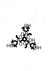 C=CC(=O)N(C(=O)c1cc(C(=O)N(C(=O)C=C)C2CC(C)(C)N(O)C(C)(C)C2)cc(C(O)N(C(=O)C=C)C2CC(C)(C)N(O)C(C)(C)C2)c1)C1CC(C)(C)N(O)C(C)(C)C1